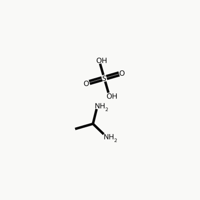 CC(N)N.O=S(=O)(O)O